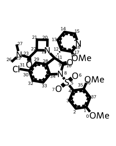 COc1ccc(S(=O)(=O)N2C(=O)[C@](c3cccnc3OC)(N3CCC3C(=O)N(C)C)c3cc(Cl)ccc32)c(OC)c1